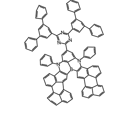 c1ccc(-c2cc(-c3ccccc3)cc(-c3nc(-c4cc(-c5ccccc5)cc(-c5ccccc5)c4)nc(-c4cc5c6c(c4)N(c4ccccc4)c4c(cc7c8cccc9cccc(c%10cccc4c%107)c98)B6c4cc6c7cccc8cccc(c9cccc(c4N5c4ccccc4)c96)c87)n3)c2)cc1